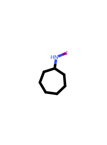 INC1CCCCCC1